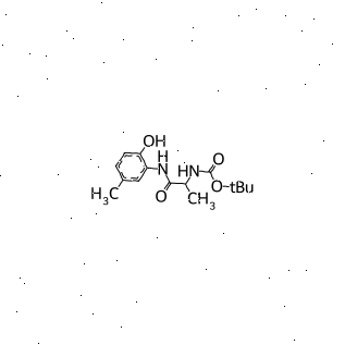 Cc1ccc(O)c(NC(=O)C(C)NC(=O)OC(C)(C)C)c1